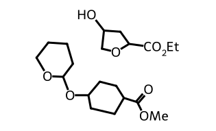 CCOC(=O)C1CC(O)CO1.COC(=O)C1CCC(OC2CCCCO2)CC1